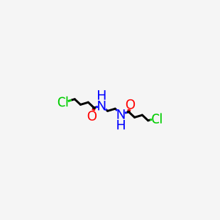 O=C(CCCCl)NCCNC(=O)CCCCl